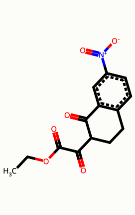 CCOC(=O)C(=O)C1CCc2ccc([N+](=O)[O-])cc2C1=O